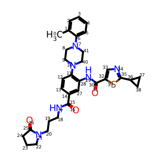 Cc1ccccc1N1CCN(c2ccc(C(=O)NCCCN3CCCC3=O)cc2NC(=O)c2cnc(C3CC3)s2)CC1